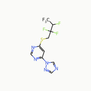 FC(C(F)(F)F)C(F)(F)CSc1cc(-n2cncn2)ncn1